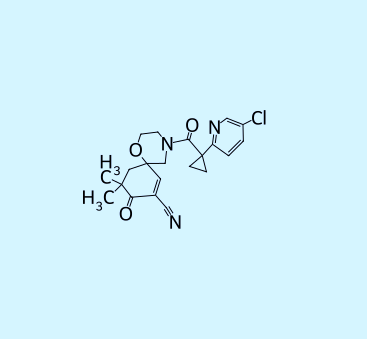 CC1(C)CC2(C=C(C#N)C1=O)CN(C(=O)C1(c3ccc(Cl)cn3)CC1)CCO2